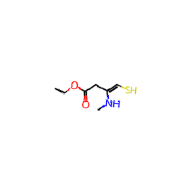 CCOC(=O)C/C(=C/S)NC